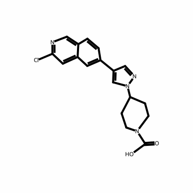 O=C(O)N1CCC(n2cc(-c3ccc4cnc(Cl)cc4c3)cn2)CC1